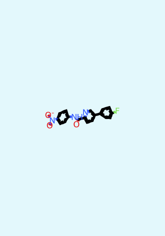 O=C(Nc1ccc([N+](=O)[O-])cc1)c1ccc(-c2ccc(F)cc2)cn1